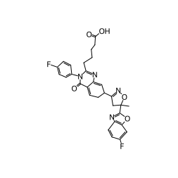 CC1(c2nc3ccc(F)cc3o2)CC(C2C=c3nc(CCCCC(=O)O)n(-c4ccc(F)cc4)c(=O)c3=CC2)=NO1